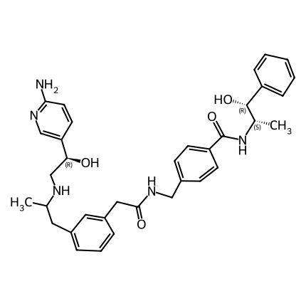 CC(Cc1cccc(CC(=O)NCc2ccc(C(=O)N[C@@H](C)[C@H](O)c3ccccc3)cc2)c1)NC[C@H](O)c1ccc(N)nc1